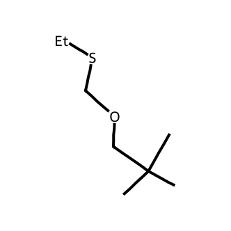 CCSCOCC(C)(C)C